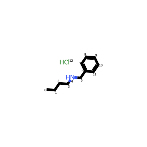 CCCCNCc1ccccc1.Cl